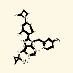 Cc1ccnc(Cn2c(-c3ccc(N4CCC4=O)cc3Cl)nc3c(OC4(C)CC4)ncnc32)c1